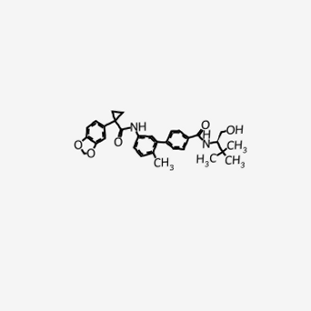 Cc1ccc(NC(=O)C2(c3ccc4c(c3)OCO4)CC2)cc1-c1ccc(C(=O)N[C@@H](CO)C(C)(C)C)cc1